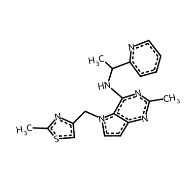 Cc1nc(NC(C)c2ccccn2)c2c(ccn2Cc2csc(C)n2)n1